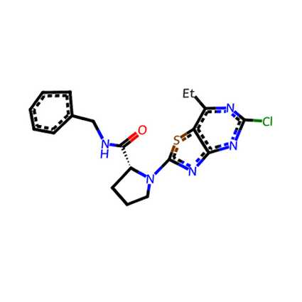 CCc1nc(Cl)nc2nc(N3CCC[C@@H]3C(=O)NCc3ccccc3)sc12